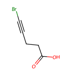 O=C(O)CCC#CBr